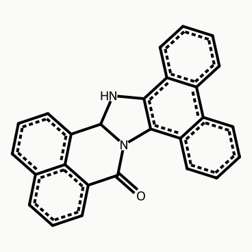 O=C1c2cccc3cccc(c23)C2Nc3c(c4ccccc4c4ccccc34)N12